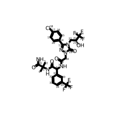 CC(C)(NC(=O)C(NC(=O)Cn1nc(-c2ccc(Cl)cc2)n(C[C@H](O)C(F)(F)F)c1=O)c1cccc(C(F)(F)F)c1)C(N)=O